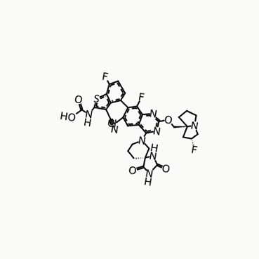 N#Cc1c(NC(=O)O)sc2c(F)ccc(-c3c(Cl)cc4c(N5CCC[C@]6(C5)NC(=O)NC6=O)nc(OC[C@@]56CCCN5C[C@H](F)C6)nc4c3F)c12